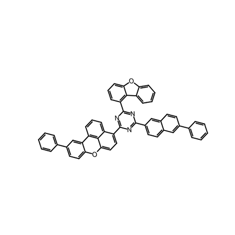 c1ccc(-c2ccc3c(c2)-c2cccc4c(-c5nc(-c6ccc7cc(-c8ccccc8)ccc7c6)nc(-c6cccc7oc8ccccc8c67)n5)ccc(c24)O3)cc1